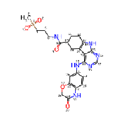 CS(=O)(=O)CCCNC(=O)C1CCc2[nH]c3ncnc(Nc4ccc5c(c4)OCC(=O)N5)c3c2C1